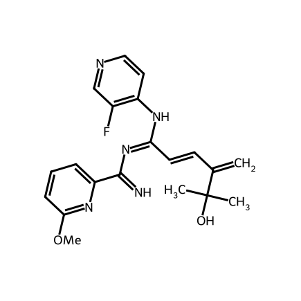 C=C(/C=C/C(=N\C(=N)c1cccc(OC)n1)Nc1ccncc1F)C(C)(C)O